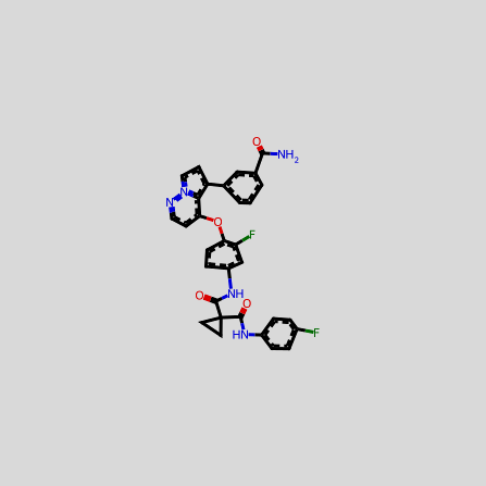 NC(=O)c1cccc(-c2ccn3nccc(Oc4ccc(NC(=O)C5(C(=O)Nc6ccc(F)cc6)CC5)cc4F)c23)c1